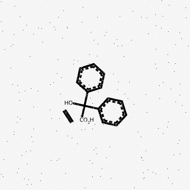 C=C.O=C(O)C(O)(c1ccccc1)c1ccccc1